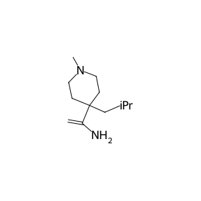 C=C(N)C1(CC(C)C)CCN(C)CC1